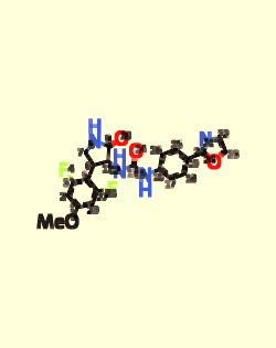 COc1cc(F)c(C2CNC(=O)C2NC(=O)Nc2ccc(-c3ncco3)cc2)c(F)c1